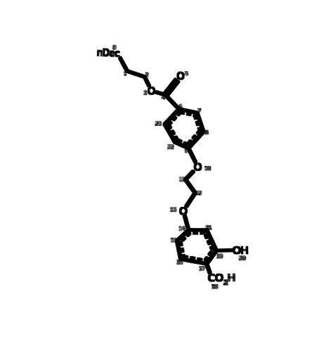 CCCCCCCCCCCCOC(=O)c1ccc(OCCOc2ccc(C(=O)O)c(O)c2)cc1